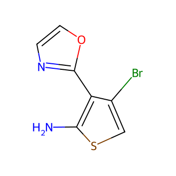 Nc1scc(Br)c1-c1ncco1